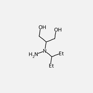 CCC(CC)N(N)C(CO)CO